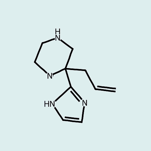 C=CCC1(c2ncc[nH]2)CNCC[N]1